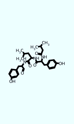 CC(C)CC(=O)NC(Cc1ccc(O)cc1)C(=O)NC(CC(C)C)C(=O)NC(C=O)Cc1ccc(O)cc1